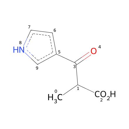 CC(C(=O)O)C(=O)c1cc[nH]c1